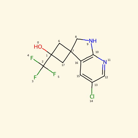 OC1(C(F)(F)F)CC2(CNc3ncc(Cl)cc32)C1